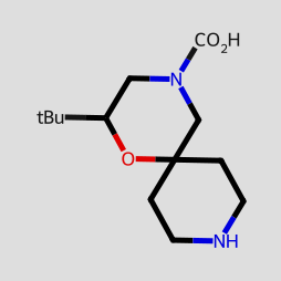 CC(C)(C)C1CN(C(=O)O)CC2(CCNCC2)O1